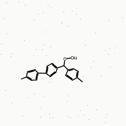 Cc1ccc(-c2ccc(C(OO)c3ccc(C)cc3)cc2)cc1